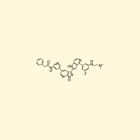 CN(C)CCNc1cc(F)cc(-c2nccc3[nH]c(-c4n[nH]c5ncc(-c6cncc(NC(=O)Cc7ccccc7)c6)cc45)cc23)c1